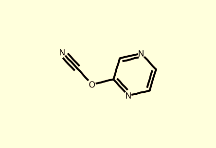 N#COc1cnccn1